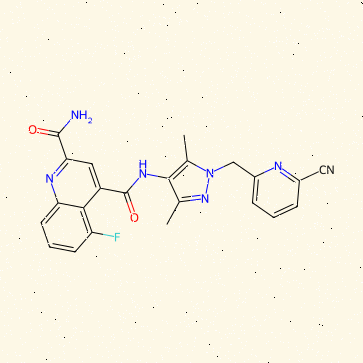 Cc1nn(Cc2cccc(C#N)n2)c(C)c1NC(=O)c1cc(C(N)=O)nc2cccc(F)c12